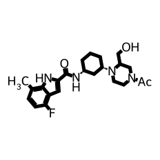 CC(=O)N1CCN([C@H]2CCC[C@@H](NC(=O)c3cc4c(F)ccc(C)c4[nH]3)C2)C(CO)C1